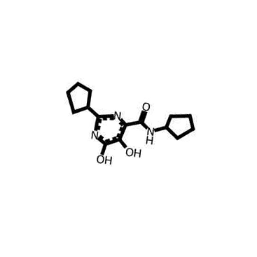 O=C(NC1CCCC1)c1nc(C2CCCC2)nc(O)c1O